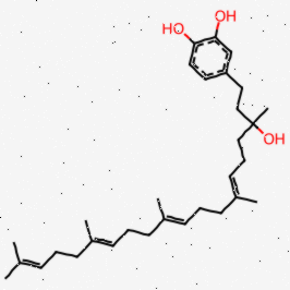 CC(C)=CCC/C(C)=C/CC/C(C)=C/CC/C(C)=C/CCC(C)(O)CCc1ccc(O)c(O)c1